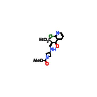 CCOC(=O)/C(=C/NC1CN(C(=O)OC)C1)C(=O)c1cccnc1Cl